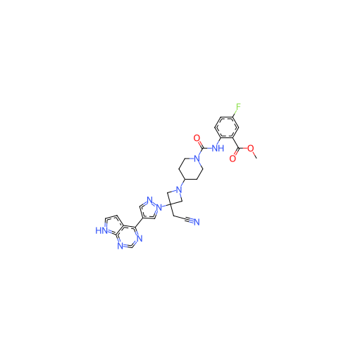 COC(=O)c1cc(F)ccc1NC(=O)N1CCC(N2CC(CC#N)(n3cc(-c4ncnc5[nH]ccc45)cn3)C2)CC1